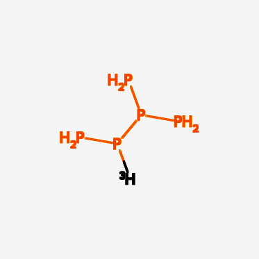 [3H]P(P)P(P)P